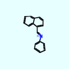 C(=N\c1ccccc1)/c1cccc2ccccc12